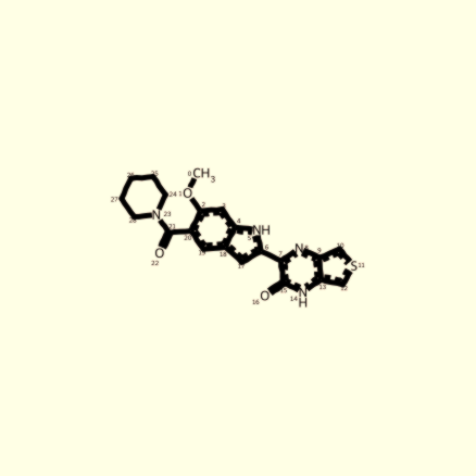 COc1cc2[nH]c(-c3nc4cscc4[nH]c3=O)cc2cc1C(=O)N1CCCCC1